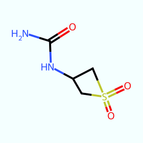 NC(=O)NC1CS(=O)(=O)C1